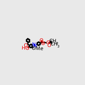 C=C(C)C(=O)OCCOC(=O)c1ccc(/N=N/c2cc(C(=O)c3ccccc3)c(O)cc2OC)cc1